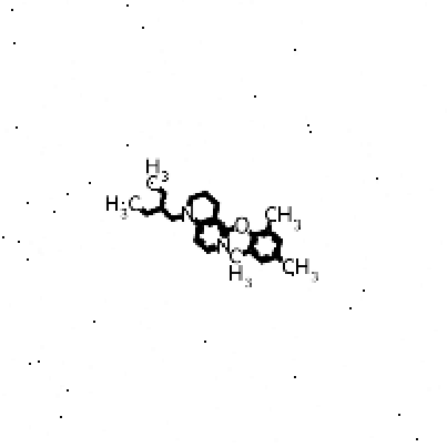 CCC(CC)CN1CCCc2c1ccnc2Oc1c(C)cc(C)cc1C